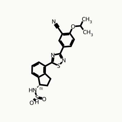 CC(C)Oc1ccc(-c2nsc(-c3cccc4c3CC[C@@H]4N[SH](=O)=O)n2)cc1C#N